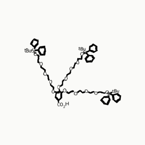 CC(C)(C)[Si](OCCOCCOCCOCCOc1cc(C(=O)O)cc(OCCOCCOCCOCCO[Si](c2ccccc2)(c2ccccc2)C(C)(C)C)c1OCCOCCOCCOCCO[Si](c1ccccc1)(c1ccccc1)C(C)(C)C)(c1ccccc1)c1ccccc1